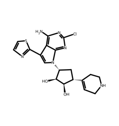 Nc1nc(Cl)nc2c1c(-c1nccs1)cn2[C@@H]1C[C@H](C2=CCNCC2)[C@@H](O)[C@H]1O